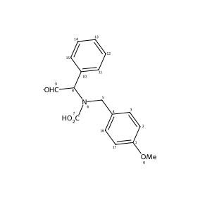 COc1ccc(CN(C(=O)O)C([C]=O)c2ccccc2)cc1